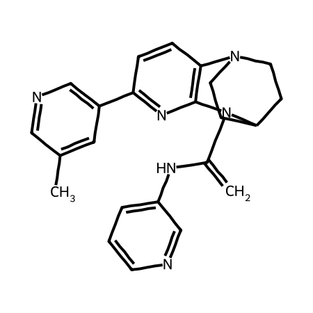 C=C(Nc1cccnc1)N1c2nc(-c3cncc(C)c3)ccc2N2CCC1CC2